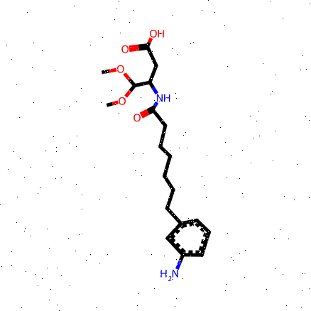 COC(OC)C(CC(=O)O)NC(=O)CCCCCCc1cccc(N)c1